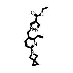 C=Cc1nc(N2CC3(CC3)C2)ccc1Cn1cc(C(=O)OCC)cn1